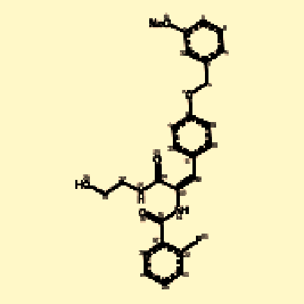 COc1cccc(COc2ccc(/C=C(/NC(=O)c3ccccc3F)C(=O)NCCO)cc2)c1